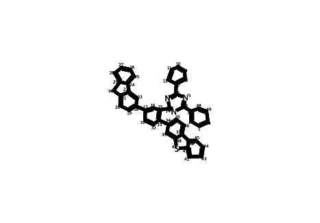 c1ccc(-c2nc(-c3ccccc3)nc(-c3cc(-c4ccc5c(c4)-c4ccccc4C5)ccc3-c3ccc4c(c3)sc3ccccc34)n2)cc1